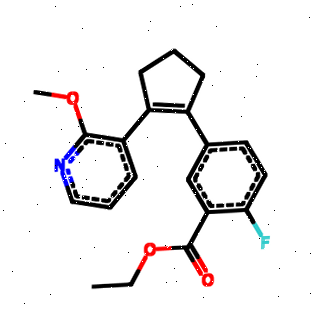 CCOC(=O)c1cc(C2=C(c3cccnc3OC)CCC2)ccc1F